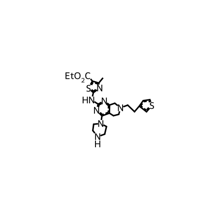 CCOC(=O)c1sc(Nc2nc3c(c(N4CCNCC4)n2)CCN(CCc2ccsc2)C3)nc1C